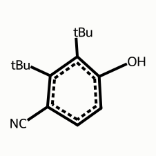 CC(C)(C)c1c(O)ccc(C#N)c1C(C)(C)C